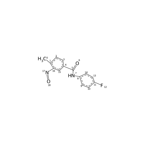 Cc1ccc(C(=O)Nc2ccc(F)cc2)cc1N=O